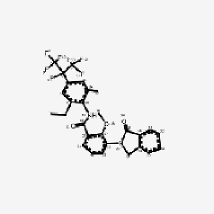 CCc1cc(C(F)(C(F)(F)F)C(F)(F)F)cc(C)c1NC(=O)c1cccc(N2Cc3ccccc3C2=O)c1OC